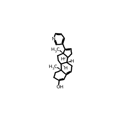 C[C@]12CCC(O)=CC1=CC[C@@H]1[C@@H]2CC[C@]2(C)C(c3cccnc3)=CC[C@@H]12